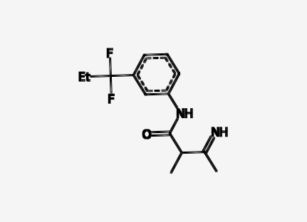 CCC(F)(F)c1cccc(NC(=O)C(C)C(C)=N)c1